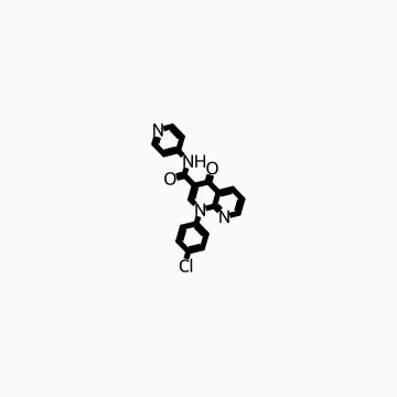 O=C(Nc1ccncc1)c1cn(-c2ccc(Cl)cc2)c2ncccc2c1=O